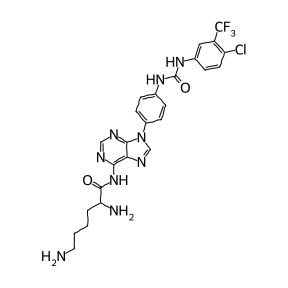 NCCCCC(N)C(=O)Nc1ncnc2c1ncn2-c1ccc(NC(=O)Nc2ccc(Cl)c(C(F)(F)F)c2)cc1